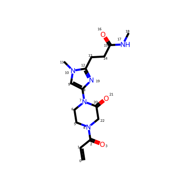 C=CC(=O)N1CCN(c2cn(C)c(CCC(=O)NC)n2)C(=O)C1